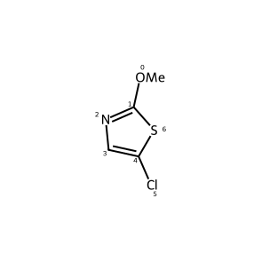 COc1ncc(Cl)s1